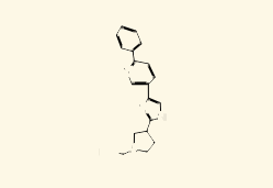 FC(F)(F)CN1CCC(c2nc(-c3ccc(-c4ccccc4)nc3)c[nH]2)C1